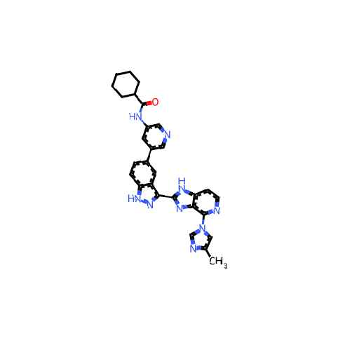 Cc1cn(-c2nccc3[nH]c(-c4n[nH]c5ccc(-c6cncc(NC(=O)C7CCCCC7)c6)cc45)nc23)cn1